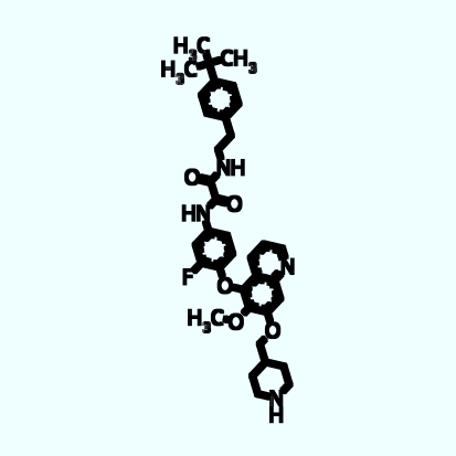 COc1c(OCC2CCNCC2)cc2ncccc2c1Oc1ccc(NC(=O)C(=O)NCCc2ccc(C(C)(C)C)cc2)cc1F